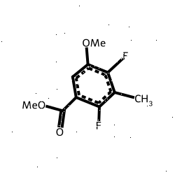 COC(=O)c1cc(OC)c(F)c(C)c1F